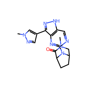 CN1CC2CCC(C1=O)N2c1ncc2[nH]nc(-c3cnn(C)c3)c2n1